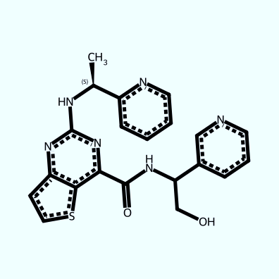 C[C@H](Nc1nc(C(=O)NC(CO)c2cccnc2)c2sccc2n1)c1ccccn1